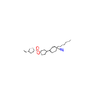 CCCCCCCC1(C#N)CCC(C2CCC(OC(=O)[C@H]3CC[C@H](CC)CC3)CC2)CC1